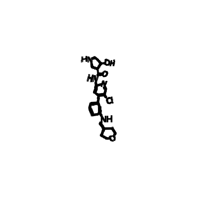 O=C(Nc1cc(-c2cccc(NCC3CCOCC3)c2)c(Cl)cn1)[C@H]1CNC[C@H]1O